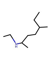 CCNC(C)CCC(C)CC